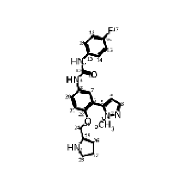 Cn1nccc1-c1cc(NC(=O)Nc2ccc(F)cc2)ccc1OCC1CCCN1